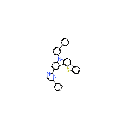 c1ccc(-c2cccc(-n3c4ccc(-c5nccc(-c6ccccc6)n5)cc4c4c5sc6ccccc6c5ccc43)c2)cc1